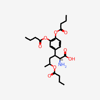 CCCC(=O)Oc1ccc(C(CC(C)OC(=O)CCC)[C@H](N)C(=O)O)cc1OC(=O)CCC